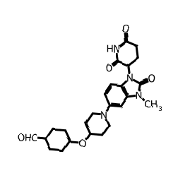 Cn1c(=O)n(C2CCC(=O)NC2=O)c2ccc(N3CCC(OC4CCC(C=O)CC4)CC3)cc21